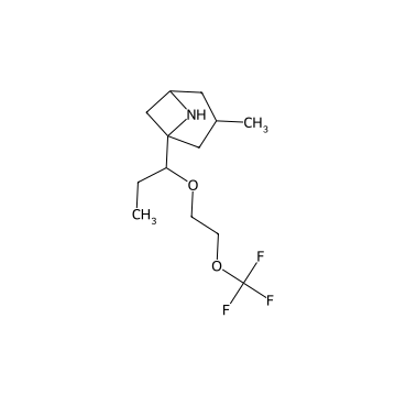 CCC(OCCOC(F)(F)F)C12CC(C)CC(C1)N2